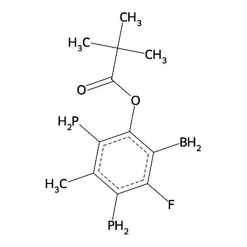 Bc1c(F)c(P)c(C)c(P)c1OC(=O)C(C)(C)C